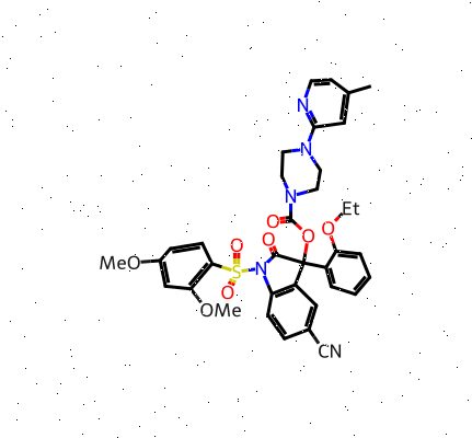 CCOc1ccccc1C1(OC(=O)N2CCN(c3cc(C)ccn3)CC2)C(=O)N(S(=O)(=O)c2ccc(OC)cc2OC)c2ccc(C#N)cc21